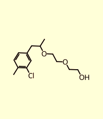 Cc1ccc(CC(C)OCCOCCO)cc1Cl